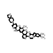 Cn1cc(-c2ccnc(-n3ccn4c5c(cc4c3=O)CC(C)(C)C5)c2CO)cc(Nc2ccc(N3CCC4(CCOC4)CC3)cn2)c1=O